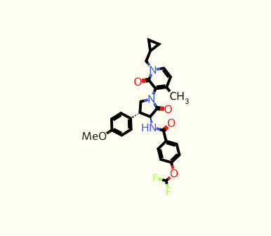 COc1ccc([C@@H]2CN(c3c(C)ccn(CC4CC4)c3=O)C(=O)[C@H]2NC(=O)c2ccc(OC(F)F)cc2)cc1